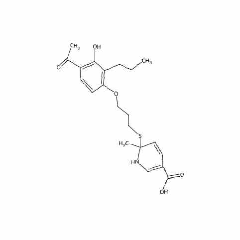 CCCc1c(OCCCSC2(C)C=CC(C(=O)O)=CN2)ccc(C(C)=O)c1O